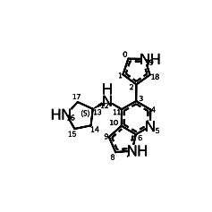 c1cc(-c2cnc3[nH]ccc3c2N[C@H]2CCNC2)c[nH]1